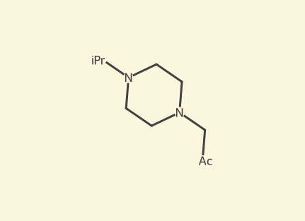 CC(=O)CN1CCN(C(C)C)CC1